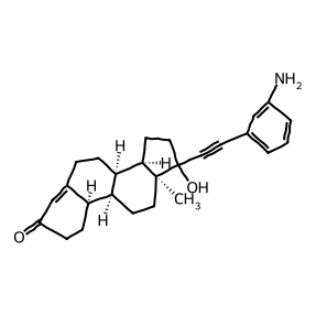 C[C@]12CC[C@@H]3[C@@H](CCC4=CC(=O)CC[C@@H]43)[C@H]1CCC2(O)C#Cc1cccc(N)c1